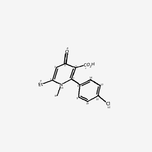 CCc1cc(=O)c(C(=O)O)c(-c2ccc(Cl)cc2)n1C